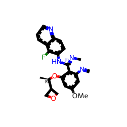 C=Nc1cc(OC)cc(O[C@H](C)C2COC2)c1/C(=N\C)Nc1ccc2ncccc2c1F